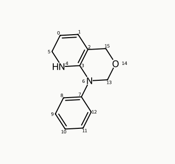 C1=CC2=C(NC1)N(c1ccccc1)COC2